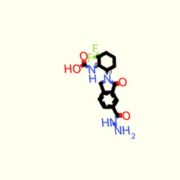 NNC(=O)c1ccc2c(c1)C(=O)N([C@@H]1CCCC(F)(F)[C@@H]1NC(=O)O)C2